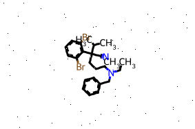 CCN(Cc1ccccc1)C(C)CCC(C#N)(c1c(Br)cccc1Br)C(C)C